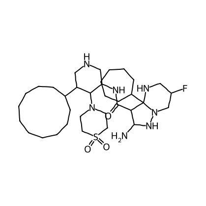 NC1NN2CC(F)CNC2(C2CCCCCC2)C1C(=O)NC1CNCC(C2CCCCCCCCCC2)C1N1CCS(=O)(=O)CC1